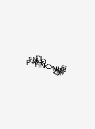 O=C(NC1CCC(Nc2cccc3nc(C(F)(F)F)cn23)CC1)c1cn(CC(F)F)nc1Cl